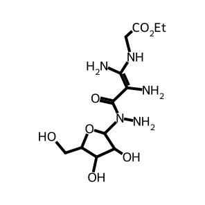 CCOC(=O)CN/C(N)=C(\N)C(=O)N(N)C1OC(CO)C(O)C1O